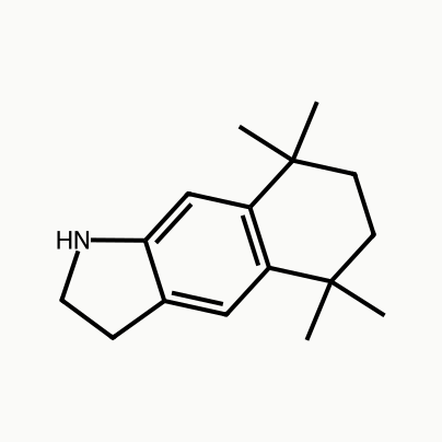 CC1(C)CCC(C)(C)c2cc3c(cc21)CCN3